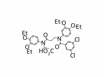 CCOc1ccc(N(CCC(=O)N(c2ccc(OCC)c(OCC)c2)C(C)C(=O)O)C(=O)c2cc(Cl)cc(Cl)c2)cc1OCC